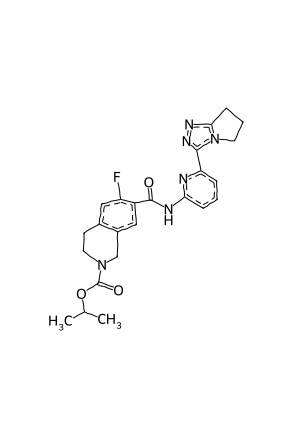 CC(C)OC(=O)N1CCc2cc(F)c(C(=O)Nc3cccc(-c4nnc5n4CCC5)n3)cc2C1